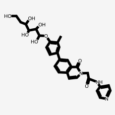 Cc1cc(-c2ccc3ccn(CC(=O)Nc4ccncc4)c(=O)c3c2)ccc1OC(O)C(O)C(O)C(O)CCO